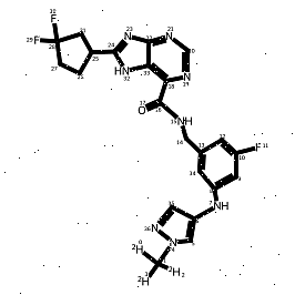 [2H]C([2H])([2H])n1cc(Nc2cc(F)cc(CNC(=O)c3ncnc4nc(C5CCC(F)(F)C5)[nH]c34)c2)cn1